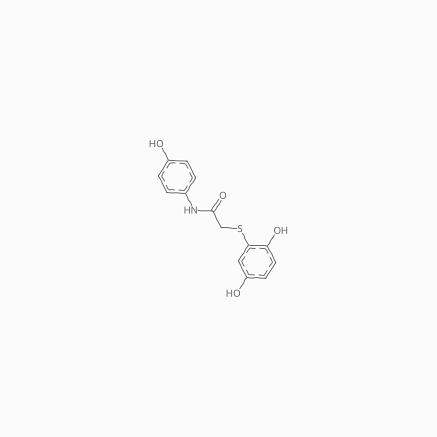 O=C(CSc1cc(O)ccc1O)Nc1ccc(O)cc1